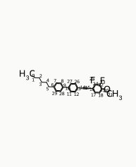 CCCCCCc1ccc(-c2ccc(C#Cc3ccc(OC)c(F)c3F)cc2)cc1